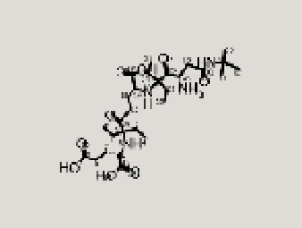 CCC(CC)(N[C@@H](CCC(=O)O)C(=O)O)C(=O)CC[C@H](NC(CC)(CC)C(=O)[C@@H](N)CC(=O)NC(C)(C)C)C(=O)O